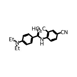 CCN(CC)c1ccc(C(=O)Nc2ccc(C#N)cc2C(=O)O)cc1